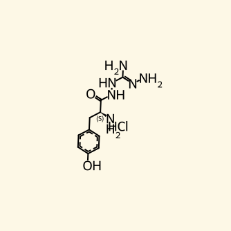 Cl.NN=C(N)NNC(=O)[C@@H](N)Cc1ccc(O)cc1